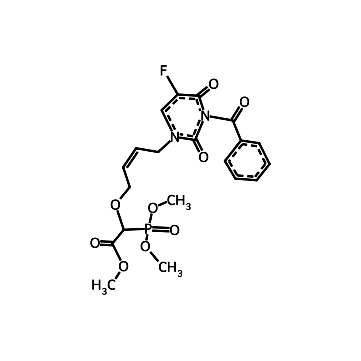 COC(=O)C(OC/C=C\Cn1cc(F)c(=O)n(C(=O)c2ccccc2)c1=O)P(=O)(OC)OC